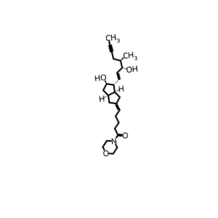 CC#CC[C@@H](C)[C@H](O)/C=C/[C@@H]1[C@H]2C/C(=C/CCCC(=O)N3CCOCC3)C[C@H]2C[C@H]1O